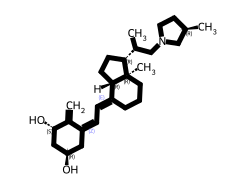 C=C1/C(=C\C=C2/CCC[C@]3(C)[C@@H](C(C)CN4CC[C@@H](C)C4)CC[C@@H]23)C[C@@H](O)C[C@@H]1O